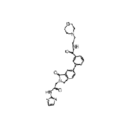 O=C(CN1Cc2ccc(-c3cccc(C(=O)NCCN4CCOCC4)c3)cc2C1=O)Nc1nccs1